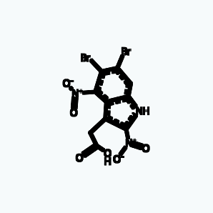 O=C(O)Cc1c([N+](=O)[O-])[nH]c2cc(Br)c(Br)c([N+](=O)[O-])c12